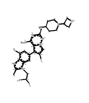 COc1nc(NC2CCN(C3COC3)CC2)nn2cc(F)c(-c3cc(F)c4nc(C)n(CC(F)F)c4c3)c12